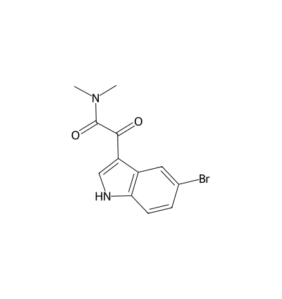 CN(C)C(=O)C(=O)c1c[nH]c2ccc(Br)cc12